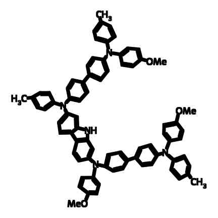 COc1ccc(N(c2ccc(C)cc2)c2ccc(-c3ccc(N(c4ccc(C)cc4)c4ccc5c(c4)[nH]c4cc(N(c6ccc(OC)cc6)c6ccc(-c7ccc(N(c8ccc(C)cc8)c8ccc(OC)cc8)cc7)cc6)ccc45)cc3)cc2)cc1